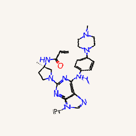 C=CC(=O)N[C@]1(C)CCN(c2nc(Nc3ccc(N4CCN(C)CC4)cc3)c3ncn(C(C)C)c3n2)C1